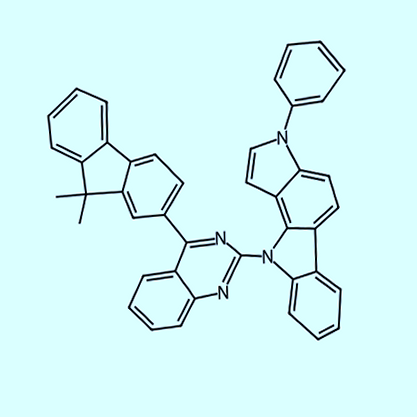 CC1(C)c2ccccc2-c2ccc(-c3nc(-n4c5ccccc5c5ccc6c(ccn6-c6ccccc6)c54)nc4ccccc34)cc21